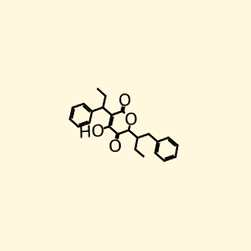 CCC(C1=C(O)C(=O)C(C(CC)Cc2ccccc2)OC1=O)c1ccccc1